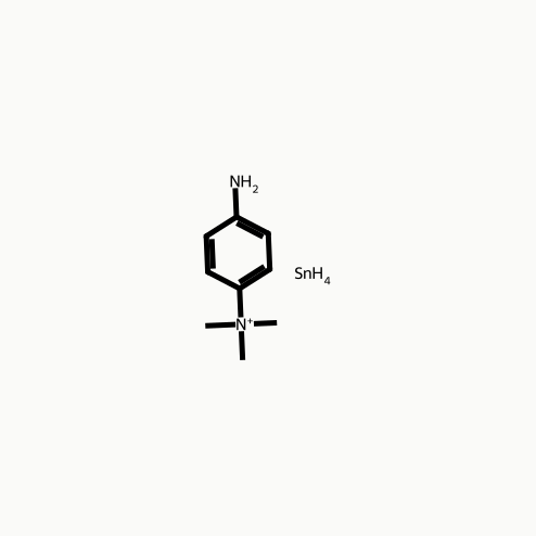 C[N+](C)(C)c1ccc(N)cc1.[SnH4]